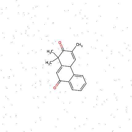 CC1=CC2C(=CC(=O)c3ccccc32)C(C)(C)C1=O